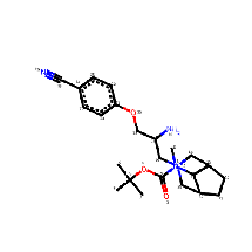 CN(C(=O)OC(C)(C)C)C1C2CCC1CN(CC(N)COc1ccc(C#N)cc1)C2